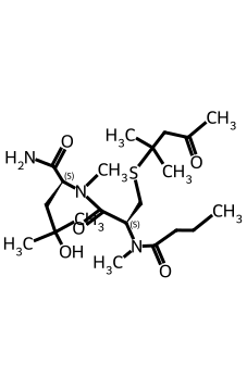 CCCC(=O)N(C)[C@H](CSC(C)(C)CC(C)=O)C(=O)N(C)[C@@H](CC(C)(C)O)C(N)=O